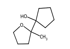 CC1(C2(O)CCCC2)CCCO1